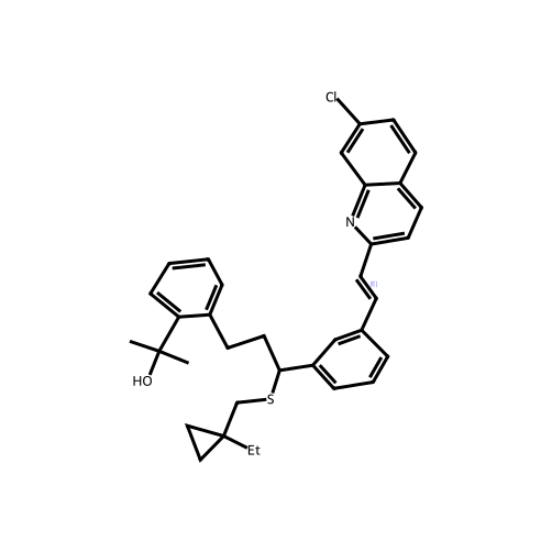 CCC1(CSC(CCc2ccccc2C(C)(C)O)c2cccc(/C=C/c3ccc4ccc(Cl)cc4n3)c2)CC1